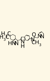 CN(C(=O)Cn1cccn1)c1ccc2cc(-c3n[nH]c4c3CCC(C)(C)C4)[nH]c2c1